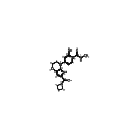 CNC(=O)n1ccc(N2CCOc3cc(C(=O)N4CCC4)[nH]c32)cc1=N